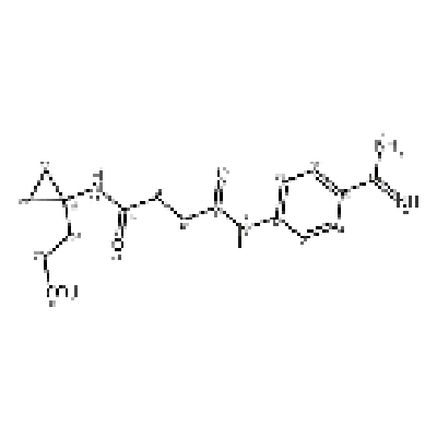 N=C(N)c1ccc(NC(=O)CCC(=O)NC2(CCC(=O)O)CC2)cc1